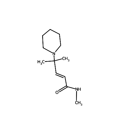 CNC(=O)C=CC(C)(C)N1CCCCC1